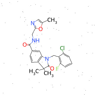 Cc1cnc(CNC(=O)c2ccc3c(c2)N(Cc2c(F)cccc2Cl)C(=O)C3(C)C)o1